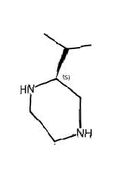 CC(C)[C@H]1CN[CH]CN1